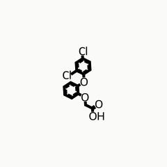 O=C(O)COc1ccccc1Oc1ccc(Cl)cc1Cl